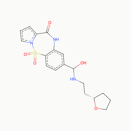 O=C1Nc2cc(C(O)NCC[C@@H]3CCCO3)ccc2S(=O)(=O)n2cccc21